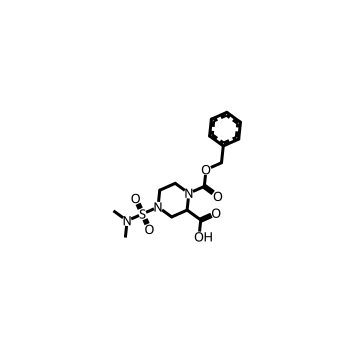 CN(C)S(=O)(=O)N1CCN(C(=O)OCc2ccccc2)C(C(=O)O)C1